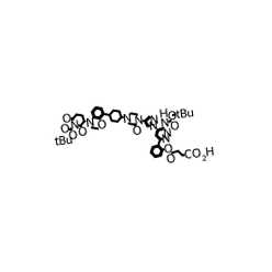 CC(C)(C)OC(=O)Nc1nnc(-c2ccccc2OC(=O)CCC(=O)O)cc1-n1cc(N2CCN(C3CCC(c4cccc5c4OCCN5[C@H]4CCC(=O)N(C(=O)OC(C)(C)C)C4=O)CC3)CC2=O)cn1